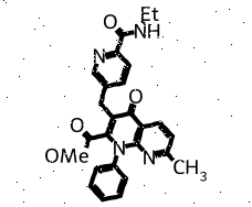 CCNC(=O)c1ccc(Cc2c(C(=O)OC)n(-c3ccccc3)c3nc(C)ccc3c2=O)cn1